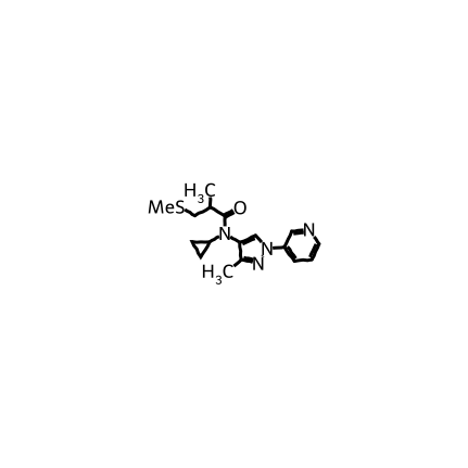 CSCC(C)C(=O)N(c1cn(-c2cccnc2)nc1C)C1CC1